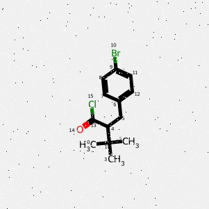 CC(C)(C)C(Cc1ccc(Br)cc1)C(=O)Cl